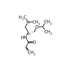 C=CC(=O)N[C@@H](COC(C)C)CN(C)C